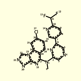 CN(c1cncc(-c2ccc(C(F)F)nc2)n1)c1nc2nncn2c2cc(Cl)ccc12